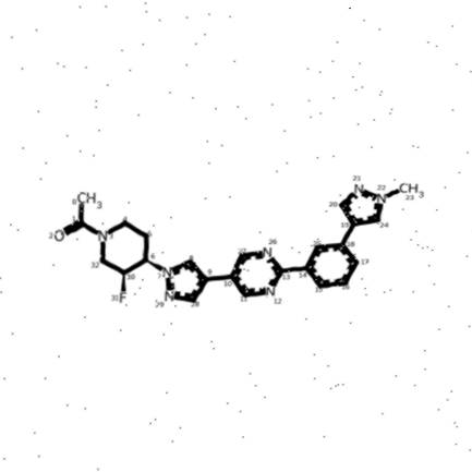 CC(=O)N1CC[C@@H](n2cc(-c3cnc(-c4cccc(-c5cnn(C)c5)c4)nc3)cn2)[C@@H](F)C1